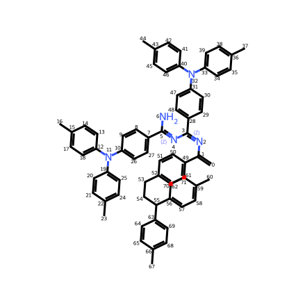 C=C(/N=C(\N=C(/N)c1ccc(N(c2ccc(C)cc2)c2ccc(C)cc2)cc1)c1ccc(N(c2ccc(C)cc2)c2ccc(C)cc2)cc1)c1ccc(CCC(C2=CC=C(C)CC2)c2ccc(C)cc2)cc1